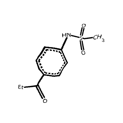 CCC(=O)c1ccc(NS(C)(=O)=O)cc1